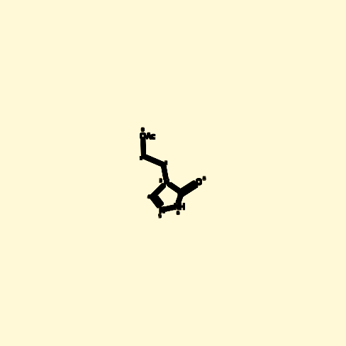 CC(=O)OCCn1cn[nH]c1=O